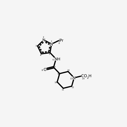 CC(C)n1nccc1NC(=O)C1CCCN(C(=O)O)C1